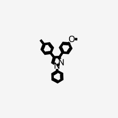 COc1ccc(-c2nn(-c3ccccc3)cc2-c2ccc(C)cc2)cc1